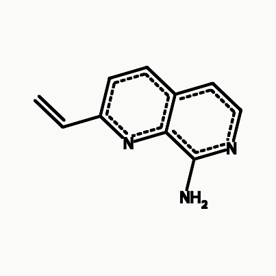 C=Cc1ccc2ccnc(N)c2n1